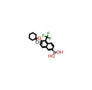 CC1(Oc2ccc3cc(B(O)O)ccc3c2C(F)(F)F)CCCCC1